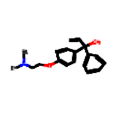 C=CC(O)(c1ccccc1)c1ccc(OCCN(CC)CC)cc1